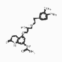 COc1ccc(CCNCC(O)COc2cc(NC(N)=O)cc3c2CCC(=O)N3)cc1OC